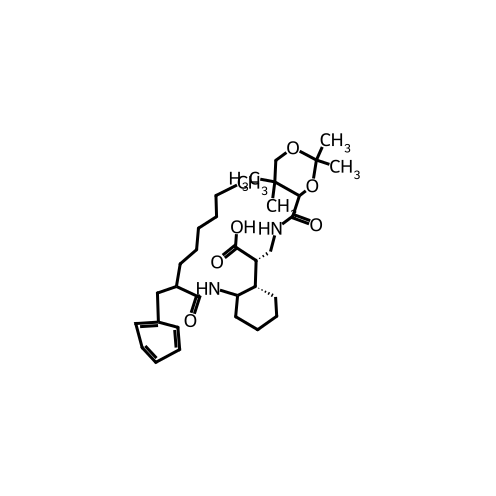 CCCCCCC(Cc1ccccc1)C(=O)NC1CCCC[C@H]1[C@@H](CNC(=O)C1OC(C)(C)OCC1(C)C)C(=O)O